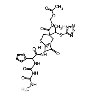 CNC(=O)NC(=O)NC(C(=O)NC1C(=O)N2CC(C(=O)OCOC(C)=O)(C(C)Sc3nnn[nH]3)CS[C@H]12)c1cccs1